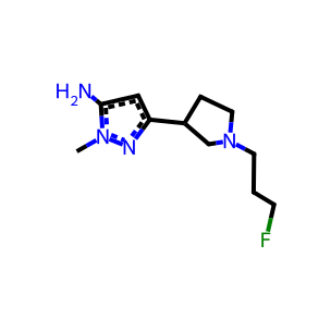 Cn1nc(C2CCN(CCCF)C2)cc1N